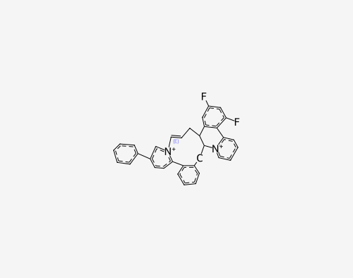 Fc1cc(F)c2c(c1)C1C/C=C/[n+]3cc(-c4ccccc4)ccc3-c3ccccc3CC1[n+]1ccccc1-2